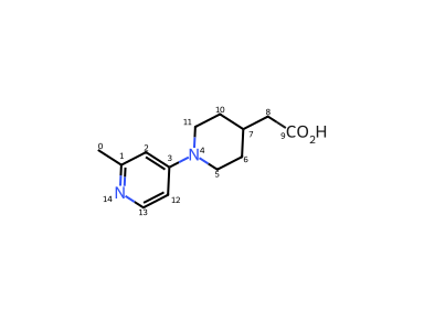 Cc1cc(N2CCC(CC(=O)O)CC2)ccn1